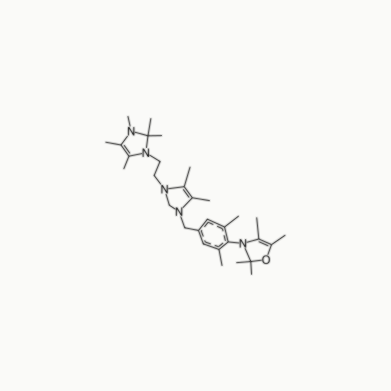 CC1=C(C)N(c2c(C)cc(CN3CN(CCN4C(C)=C(C)N(C)C4(C)C)C(C)=C3C)cc2C)C(C)(C)O1